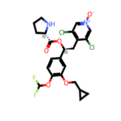 O=C(O[C@@H](Cc1c(Cl)c[n+]([O-])cc1Cl)c1ccc(OC(F)F)c(OCC2CC2)c1)[C@@H]1CCCN1